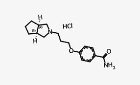 Cl.NC(=O)c1ccc(OCCCN2C[C@H]3CCC[C@H]3C2)cc1